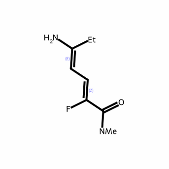 CC/C(N)=C\C=C(/F)C(=O)NC